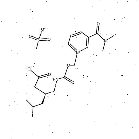 CC(C)C[C@H](CNC(=O)OC[n+]1cccc(C(=O)N(C)C)c1)CC(=O)O.CS(=O)(=O)[O-]